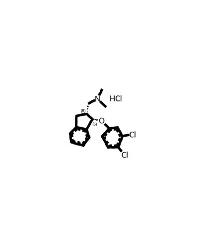 CN(C)C[C@H]1Cc2ccccc2[C@H]1Oc1ccc(Cl)c(Cl)c1.Cl